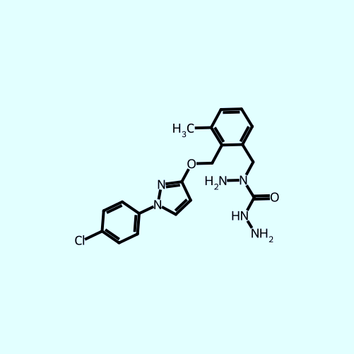 Cc1cccc(CN(N)C(=O)NN)c1COc1ccn(-c2ccc(Cl)cc2)n1